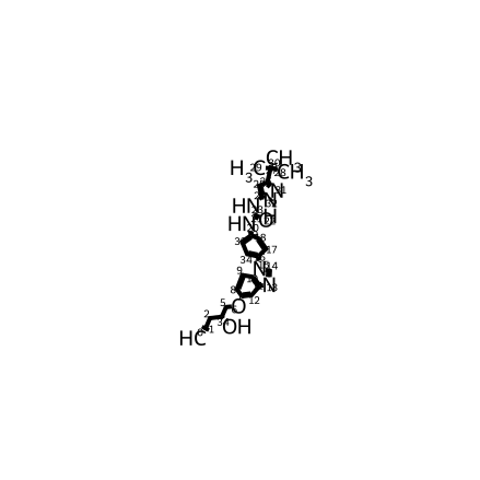 C#CCC(O)COc1ccc2c(c1)ncn2-c1ccc(NC(=O)Nc2cc(C(C)(C)C)n[nH]2)cc1